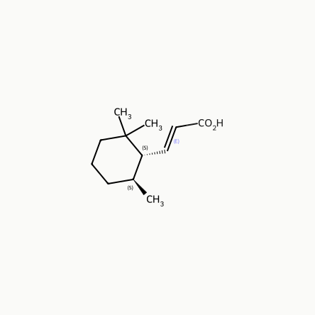 C[C@H]1CCCC(C)(C)[C@@H]1/C=C/C(=O)O